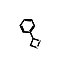 c1ccc(C2COO2)cc1